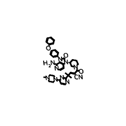 CN1CCN(c2ccnc(C(C)(C)C=C(C#N)C(=O)N3CCC[C@@H](n4c(=O)n(-c5ccc(Oc6ccccc6)cc5)c5c(N)nccc54)C3)n2)CC1